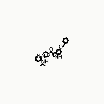 CC(C)Nc1cccnc1N1CCN(C(=O)c2c[nH]c3ccc(OCc4ccccc4)cc23)CC1